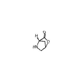 O=C1OC2CN[C@H]1C2